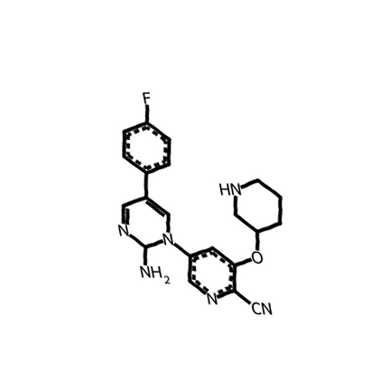 N#Cc1ncc(N2C=C(c3ccc(F)cc3)C=NC2N)cc1OC1CCCNC1